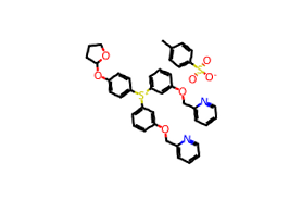 Cc1ccc(S(=O)(=O)[O-])cc1.c1ccc(COc2cccc([S+](c3ccc(OC4CCCO4)cc3)c3cccc(OCc4ccccn4)c3)c2)nc1